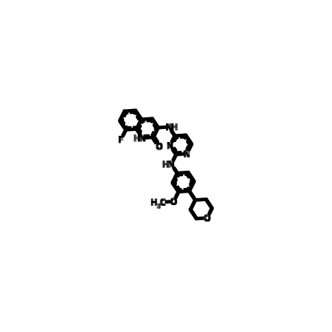 COc1cc(Nc2nccc(Nc3cc4cccc(F)c4[nH]c3=O)n2)ccc1C1CCOCC1